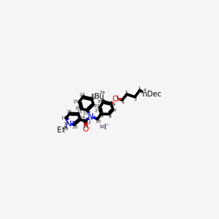 CCCCCCCCCCCCCCOc1ccc(CN(C(=O)c2ccc[n+](CC)c2)c2ccccc2)cc1C(C)(C)C.[I-]